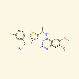 COc1cc2nc(C)nc(NC(C)c3cc(C)c(-c4ccc(F)cc4CN)s3)c2cc1OC